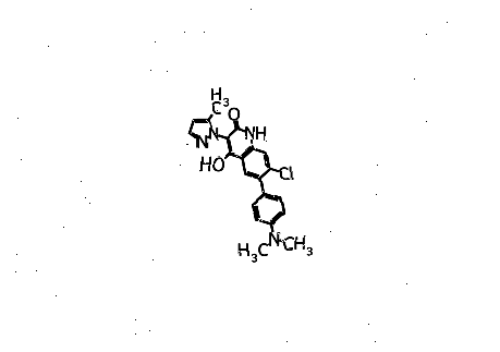 Cc1ccnn1-c1c(O)c2cc(-c3ccc(N(C)C)cc3)c(Cl)cc2[nH]c1=O